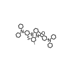 Cc1cc2c3c(c1)-n1c4c(cccc4c4oc5cc(N(c6ccccc6)c6ccccc6)ccc5c41)B3c1ccc(N(c3ccccc3)c3ccccc3)cc1S2